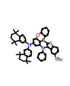 CC(C)(C)c1ccc2sc3c(c2c1)N(c1ccccc1)c1cc(N(c2ccc4c(c2)C(C)(C)CCC4(C)C)c2ccc4c(c2)C(C)(C)CCC4(C)C)cc2c1B3c1ccccc1O2